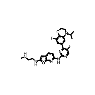 CNCCNc1cc2ccc(Nc3ncc(F)c(-c4cc(F)c5c(c4)N(C(C)C)CCO5)n3)nc2o1